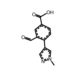 Cn1cc(-c2ccc(C(=O)O)cc2C=O)cn1